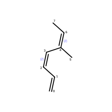 C=C/C=C\C(C)=C/C